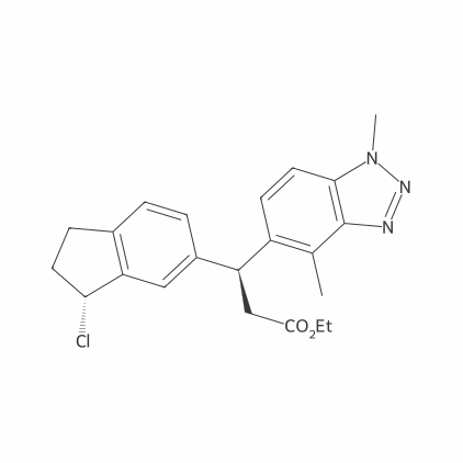 CCOC(=O)C[C@@H](c1ccc2c(c1)[C@H](Cl)CC2)c1ccc2c(nnn2C)c1C